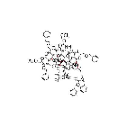 CC[C@@H](OC(C)=O)[C@@H](C)C1O[C@@](OCC2O[C@@H](O[C@@H]3C(OCc4ccccc4)[C@H](OCCCCCN(Cc4ccccc4)C(=O)OCc4ccccc4)OC(COCc4ccccc4)[C@@H]3C)C(NC(=O)OCC(Cl)(Cl)Cl)[C@@H](O[C@@H]3OC(COCc4ccccc4)[C@H](OC4OC(COC(C)=O)[C@H](OCc5ccccc5)[C@H](C)[C@@H]4C)[C@H](C)C3OC(=O)c3ccccc3)[C@@H]2C)(C(=O)OC)C[C@@H](OC(N)=O)[C@H]1C(C)=O